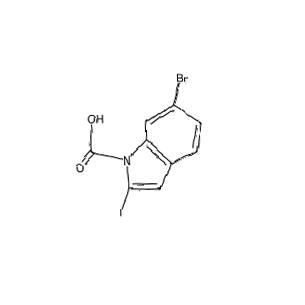 O=C(O)n1c(I)cc2ccc(Br)cc21